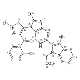 CCc1cc(C(=O)c2ccccc2Cl)c(-n2c(CC)nnc2CNC(=O)c2c(CC)c3ccccc3n2CC(=O)O)s1